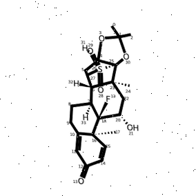 CC1(C)O[C@@H]2C[C@H]3[C@@H]4CCC5=CC(=O)C=C[C@]5(C)[C@@]4(F)[C@@H](O)C[C@]3(C)[C@]2(S(C)(=O)=O)O1